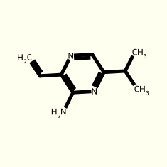 C=Cc1ncc(C(C)C)nc1N